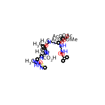 COC(=O)[C@H]1O[C@@H](Oc2ccc(/C=C/CCN(C)CCOC34CC5(C)CC(C)(CC(Cn6ncc(-c7ccc(-c8ccc9c(c8)N(C(=O)Nc8nc%10ccccc%10s8)CCN9C)nc7C(=O)O)c6C)(C5)C3)C4)cc2NCCCNC(=O)OCC2c3ccccc3-c3ccccc32)[C@H](OC(C)=O)[C@@H](OC(C)=O)[C@@H]1OC(C)=O